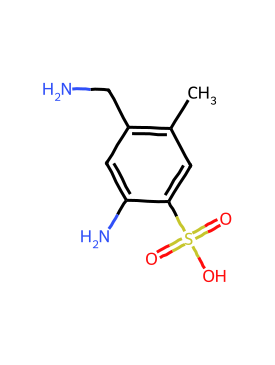 Cc1cc(S(=O)(=O)O)c(N)cc1CN